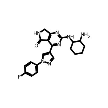 NC1CCCCC1Nc1nc2c(c(-c3cnn(-c4ccc(F)cc4)c3)n1)C(=O)NC2